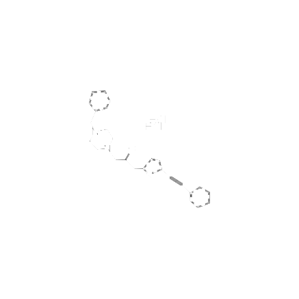 Cl.Cl.O=C(Cc1ccc(C#Cc2ccccc2)s1)CN1CCN(Cc2ccccc2)CC1